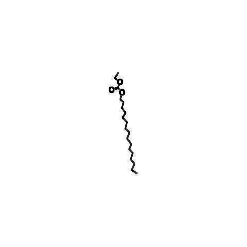 CCCCCCCCCCCCCCCCOC(=O)OCC